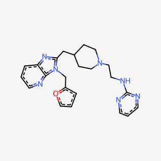 c1cnc(NCCN2CCC(Cc3nc4cccnc4n3Cc3ccco3)CC2)nc1